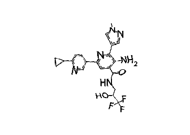 Cn1cc(-c2nc(-c3ccc(C4CC4)nc3)cc(C(=O)NC[C@H](O)C(F)(F)F)c2N)cn1